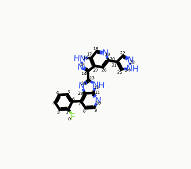 Fc1ccccc1-c1ccnc2[nH]c(-c3n[nH]c4cnc(-c5cn[nH]c5)cc34)nc12